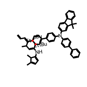 C=C/C=C(\C(C)/C=C(\CC(/C=C\C(=C/CC)c1ccc(N(c2ccc(-c3ccccc3)cc2)c2ccc3c(c2)C(C)(C)c2ccccc2-3)cc1)CC)NC1=CC=C(C)C1C)C(CC(C)(C)C)C(C)(C)C